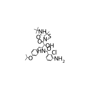 CC(C)Oc1ccc(C[C@H](NC(=O)c2cccc(N)c2Cl)[C@H](O)C(=O)N2CSC(C)(C)[C@H]2C(=O)NC(C)(C)C)cc1